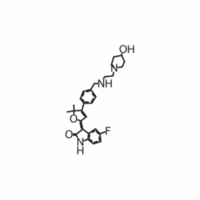 CC1(C)OC(=C2C(=O)Nc3ccc(F)cc32)C=C1c1ccc(CNCCN2CCC(O)CC2)cc1